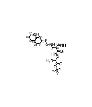 CC(C)(C)OC(=O)[C@@H](N)CNC(=O)/C(C=N)=C/NCCc1ccc2c(n1)NCCC2